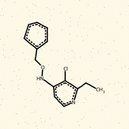 CCc1nccc(NOCc2ccccc2)c1Cl